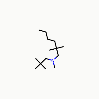 CCCCC(C)(C)CN(C)CC(C)(C)C